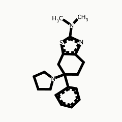 CN(C)c1nc2c(s1)CC(c1ccccc1)(N1CCCC1)CC2